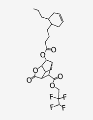 CCCC1CC=CCC1CCCC(=O)OC1C2CC3C1OC(=O)C3C2C(=O)OCC(F)(F)C(F)F